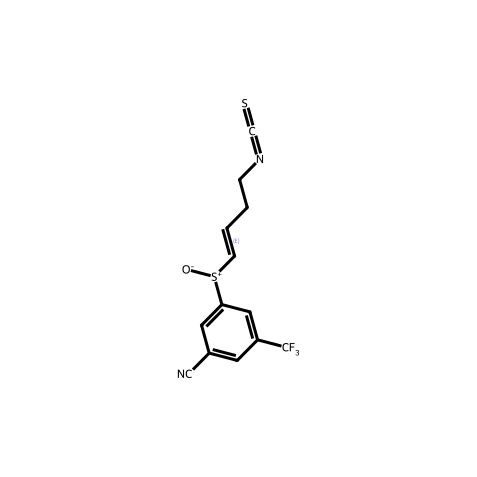 N#Cc1cc([S+]([O-])/C=C/CCN=C=S)cc(C(F)(F)F)c1